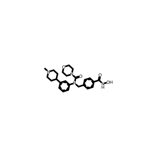 CN1CCC(c2cccc(N(Cc3ccc(C(=O)NO)cc3)C(=O)N3CCOCC3)c2)CC1